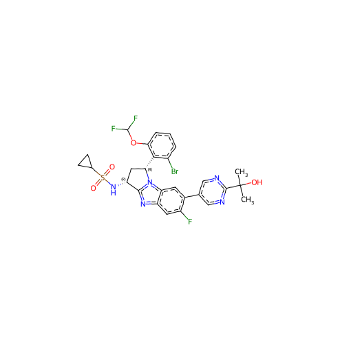 CC(C)(O)c1ncc(-c2cc3c(cc2F)nc2n3[C@@H](c3c(Br)cccc3OC(F)F)C[C@H]2NS(=O)(=O)C2CC2)cn1